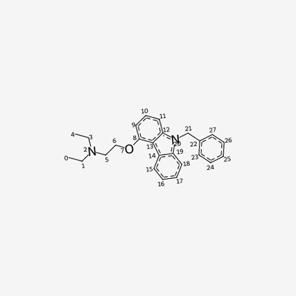 CCN(CC)CCOc1cccc2c1c1ccccc1n2Cc1ccccc1